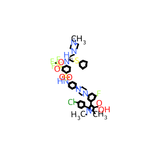 CCn1c(C)c(C(=O)O)c(-c2cc(F)cc(N3CCN(c4ccc(NS(=O)(=O)c5ccc(N[C@H](CCN6CCN(C)CC6)CSc6ccccc6)c(S(=O)(=O)C(F)(F)F)c5)cc4)CC3)c2)c1-c1ccc(Cl)cc1